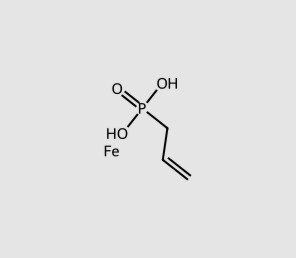 C=CCP(=O)(O)O.[Fe]